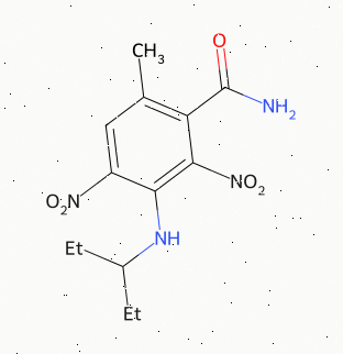 CCC(CC)Nc1c([N+](=O)[O-])cc(C)c(C(N)=O)c1[N+](=O)[O-]